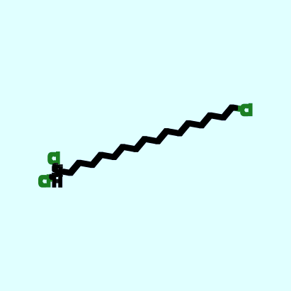 ClCCCCCCCCCCCCCCCC[SiH](Cl)Cl